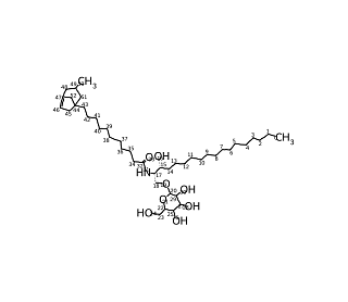 CCCCCCCCCCCCCCC[C@@H](O)[C@H](COC1OC(CO)C(O)C(O)C1O)NC(=O)CCCCCCCCCCC12CC=C(CC(C)C1)C2